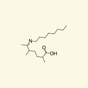 CCCCCCCCN=C(C)C(C)CCC(C)C(=O)O